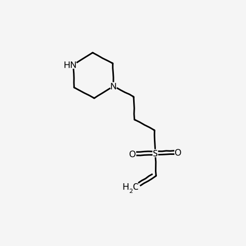 C=CS(=O)(=O)CCCN1CCNCC1